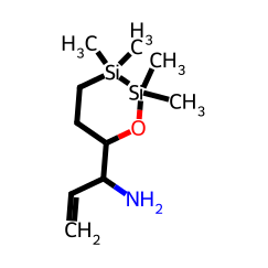 C=CC(N)C1CC[Si](C)(C)[Si](C)(C)O1